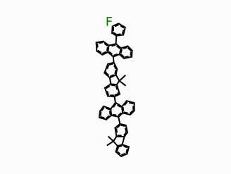 CC1(C)c2ccccc2-c2ccc(-c3c4ccccc4c(-c4ccc5c(c4)C(C)(C)c4cc(-c6c7ccccc7c(-c7cccc(F)c7)c7ccccc67)ccc4-5)c4ccccc34)cc21